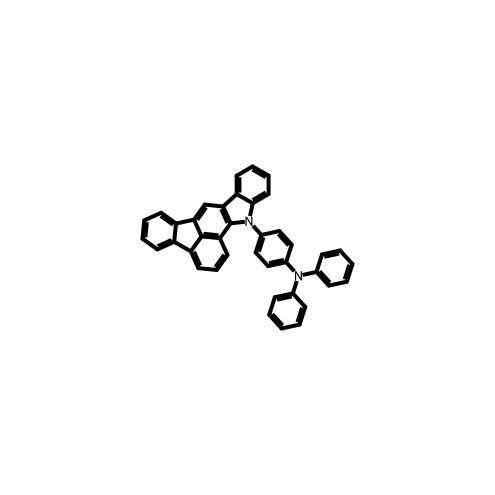 c1ccc(N(c2ccccc2)c2ccc(-n3c4ccccc4c4cc5c6c(cccc6c43)-c3ccccc3-5)cc2)cc1